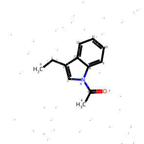 CCc1cn(C(C)=O)c2ccccc12